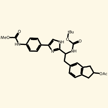 COC(=O)Nc1ccc(-c2c[nH]c(C(Cc3ccc4c(c3)CC(OC(C)=O)C4)NC(=O)OC(C)(C)C)n2)cc1